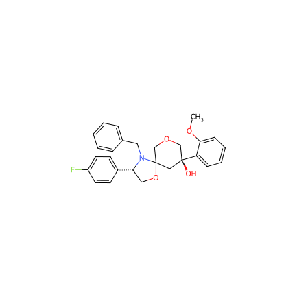 COc1ccccc1[C@@]1(O)COCC2(C1)OC[C@H](c1ccc(F)cc1)N2Cc1ccccc1